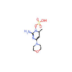 CC1C=C(N2CCOCC2)N=C(N)N1OS(=O)(=O)O